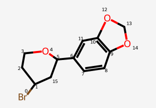 BrC1CCOC(c2ccc3c(c2)OCO3)C1